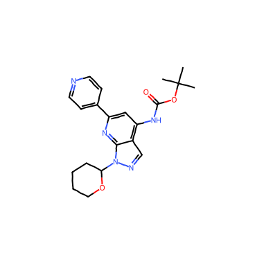 CC(C)(C)OC(=O)Nc1cc(-c2ccncc2)nc2c1cnn2C1CCCCO1